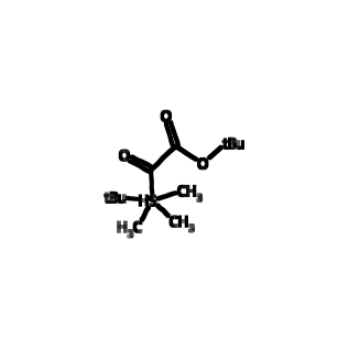 CC(C)(C)OC(=O)C(=O)[SH](C)(C)(C)C(C)(C)C